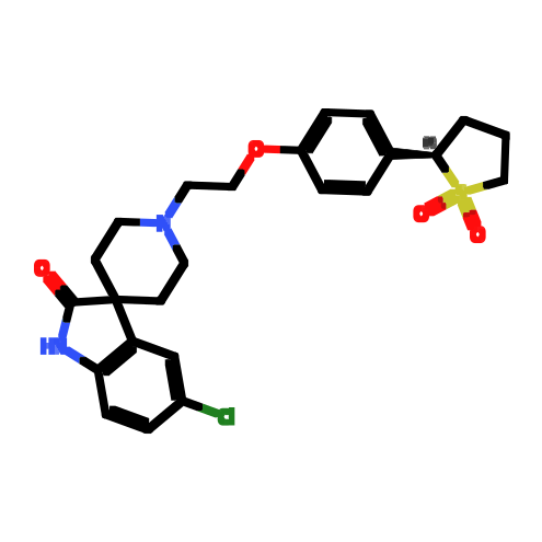 O=C1Nc2ccc(Cl)cc2C12CCN(CCOc1ccc([C@H]3CCCS3(=O)=O)cc1)CC2